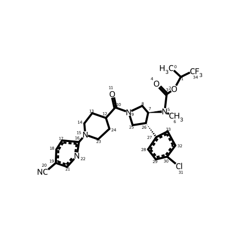 CC(OC(=O)N(C)[C@@H]1CN(C(=O)C2CCN(c3ccc(C#N)cn3)CC2)C[C@H]1c1ccc(Cl)cc1)C(F)(F)F